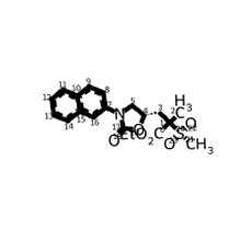 CCOC(=O)C(C)(C[C@H]1CN(c2ccc3ccccc3c2)C(=O)O1)S(C)(=O)=O